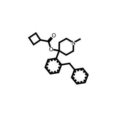 CN1CCC(OC(=O)C2CCC2)(c2ccccc2Cc2ccccc2)CC1